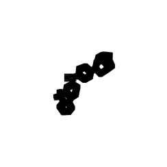 CC1(C)c2ccccc2-c2ccc(Nc3ccc(C45CC6CC7CC(C4)C7(C6)C5)cc3)cc21